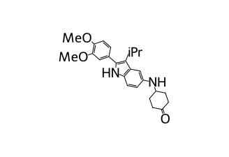 COc1ccc(-c2[nH]c3ccc(NC4CCC(=O)CC4)cc3c2C(C)C)cc1OC